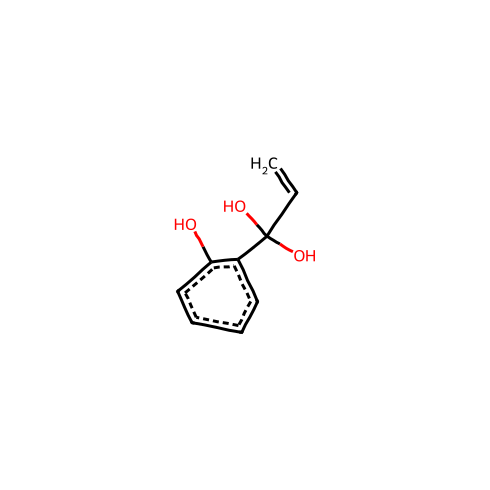 C=CC(O)(O)c1ccccc1O